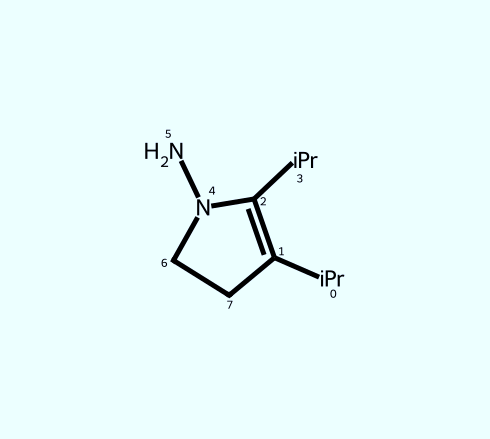 CC(C)C1=C(C(C)C)N(N)CC1